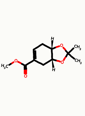 COC(=O)C1=CC[C@@H]2OC(C)(C)O[C@@H]2C1